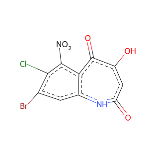 O=c1cc(O)c(=O)c2c([N+](=O)[O-])c(Cl)c(Br)cc2[nH]1